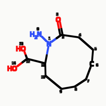 NN1C(=O)CCCCCCCC1C(O)O